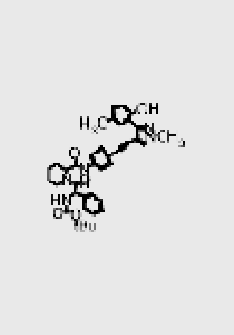 Cc1ccc(O)c(-c2nn(C)cc2C#Cc2ccc(NC(=O)C3CCCCN3C(=O)C(NC(=O)OC(C)(C)C)c3ccccc3)cc2)c1